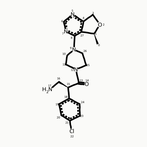 C[C@@H]1OCc2ncnc(N3CCN(C(=O)[C@H](CN)c4ccc(Cl)cc4)CC3)c21